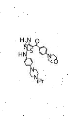 CC(C)N1CCN(c2ccc(Nc3nc(N)c(C(=O)c4ccc(N5CCOCC5)cc4)s3)cc2)CC1